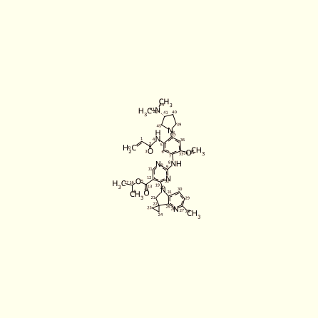 C=CC(=O)Nc1cc(Nc2ncc(C(=O)OC(C)C)c(N3CC4(CC4)c4nc(C)ccc43)n2)c(OC)cc1N1CC[C@@H](N(C)C)C1